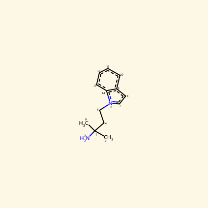 CC(C)(N)CCn1ccc2ccccc21